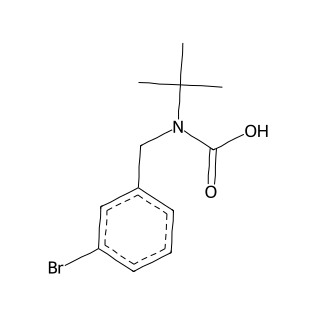 CC(C)(C)N(Cc1cccc(Br)c1)C(=O)O